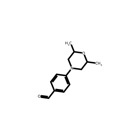 CC1CN(c2ccc(C=O)cc2)CC(C)O1